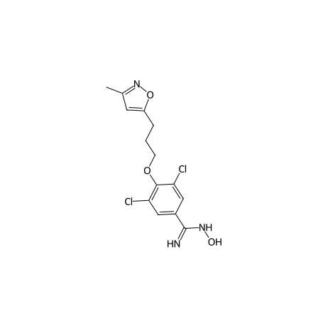 Cc1cc(CCCOc2c(Cl)cc(C(=N)NO)cc2Cl)on1